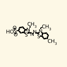 CCn1/c(=N/N=c2/sc3cc(S(=O)(=O)O)ccc3n2CC)sc2cc(C)ccc21